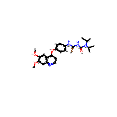 COc1cc2nccc(Oc3ccc(NC(=S)NC(=O)N(C(C)C)C(C)C)cc3)c2cc1OC